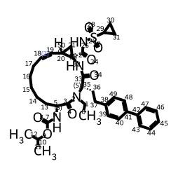 CCN1C(=O)[C@@H](NC(=O)OC(C)C)CCCCC/C=C\[C@@H]2C[C@@]2(C(=O)NS(=O)(=O)C2CC2)NC(=O)[C@@H]1CCc1ccc(-c2ccccc2)cc1